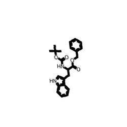 CC(C)(C)OC(=O)NC(Cc1c[nH]c2ccccc12)C(=O)OCc1ccccc1